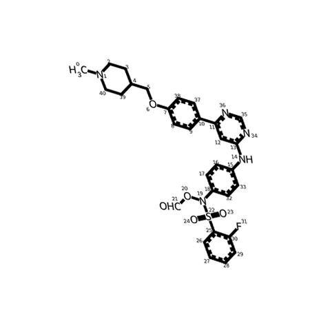 CN1CCC(COc2ccc(-c3cc(Nc4ccc(N(OC=O)S(=O)(=O)c5ccccc5F)cc4)ncn3)cc2)CC1